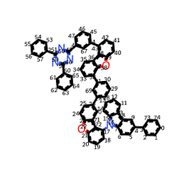 c1ccc(-c2ccc3c(c2)c2ccccc2n3-c2cccc3oc4ccc(-c5cccc(-c6cccc7c6oc6cccc(-c8cccc(-c9nc(-c%10ccccc%10)nc(-c%10ccccc%10)n9)c8)c67)c5)cc4c23)cc1